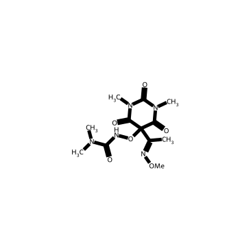 CO/N=C(\C)C1(ONC(=O)N(C)C)C(=O)N(C)C(=O)N(C)C1=O